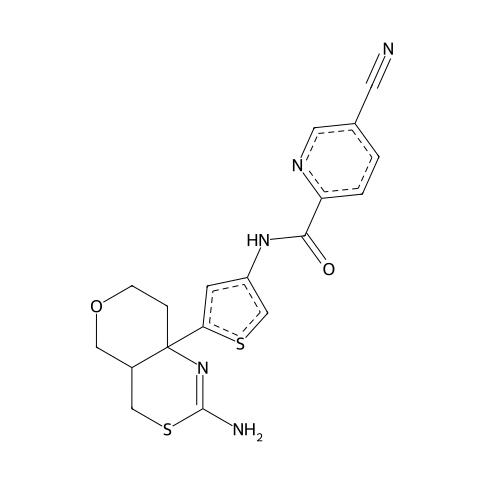 N#Cc1ccc(C(=O)Nc2csc(C34CCOCC3CSC(N)=N4)c2)nc1